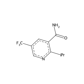 CC(C)c1ncc(C(F)(F)F)cc1C(N)=O